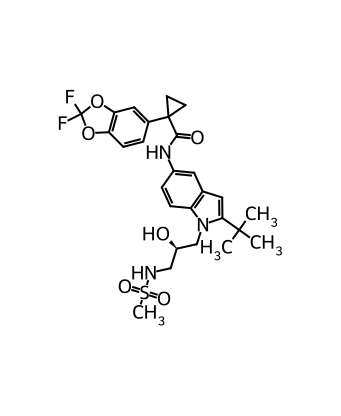 CC(C)(C)c1cc2cc(NC(=O)C3(c4ccc5c(c4)OC(F)(F)O5)CC3)ccc2n1C[C@H](O)CNS(C)(=O)=O